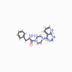 N[C@H](Cc1ccccc1)C(=O)N1CCN(c2ncnc3ncccc23)CC1